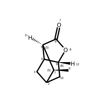 C[C@H]1C2CC3[C@H]1C(=O)O[C@@H]3C2